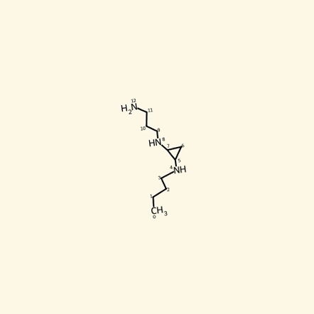 CCCCNC1CC1NCCCN